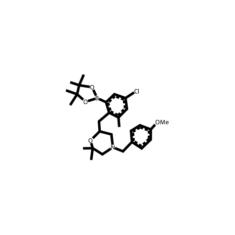 COc1ccc(CN2CC(Cc3c(C)cc(Cl)cc3B3OC(C)(C)C(C)(C)O3)OC(C)(C)C2)cc1